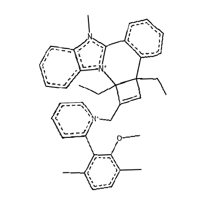 CCC12C=C(C[n+]3ccccc3-c3c(C)ccc(C)c3OC)C1(CC)[n+]1c(n(C)c3ccccc31)-c1ccccc12